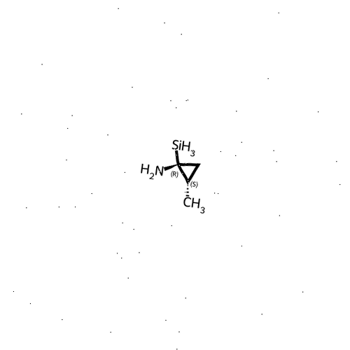 C[C@H]1C[C@@]1(N)[SiH3]